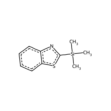 C[Si](C)(C)c1nc2ccccc2s1